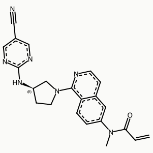 C=CC(=O)N(C)c1ccc2c(N3CC[C@@H](Nc4ncc(C#N)cn4)C3)nccc2c1